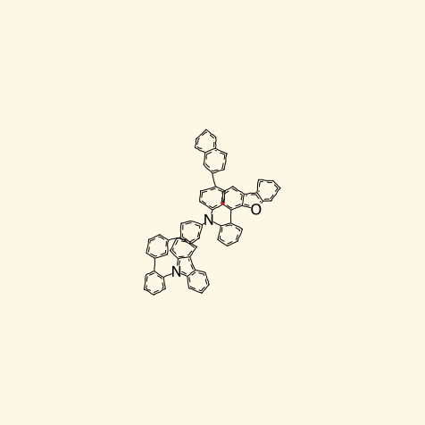 c1cc(-c2ccc(N(c3ccc(-c4ccc5ccccc5c4)cc3)c3ccccc3-c3cccc4c3oc3ccccc34)cc2)cc(-c2ccccc2-n2c3ccccc3c3ccccc32)c1